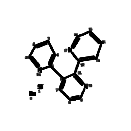 [Ru].[Si].c1ccc(-c2cccnc2-c2ccccn2)nc1